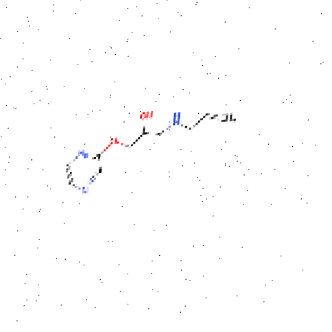 C=CCNCC(O)COc1cnccn1